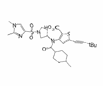 Cc1nc(S(=O)(=O)N2CCC(N(C(=O)C3CCC(C)CC3)c3cc(C#CC(C)(C)C)sc3C(=O)O)C2)cn1C